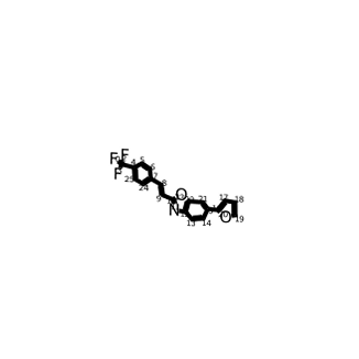 FC(F)(F)c1ccc(C=Cc2nc3ccc(-c4ccco4)cc3o2)cc1